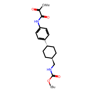 COC(=O)C(=O)Nc1ccc([C@H]2CC[C@H](CNC(=O)OC(C)(C)C)CC2)cc1